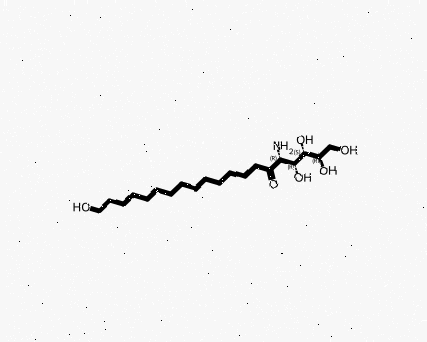 N[C@@H](C(=O)CCCCCCCCCCCCCCO)[C@@H](O)[C@H](O)[C@H](O)CO